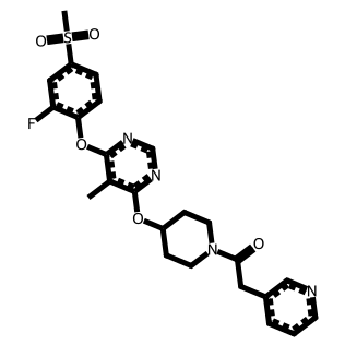 Cc1c(Oc2ccc(S(C)(=O)=O)cc2F)ncnc1OC1CCN(C(=O)Cc2cccnc2)CC1